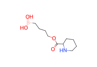 O=C(OCCCCB(O)O)C1CCCCN1